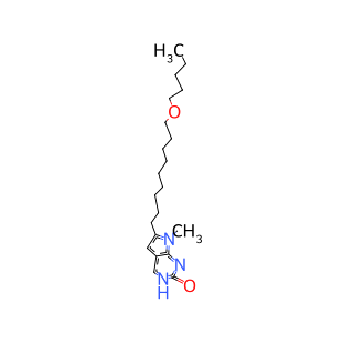 CCCCCOCCCCCCCCCc1cc2c[nH]c(=O)nc2n1C